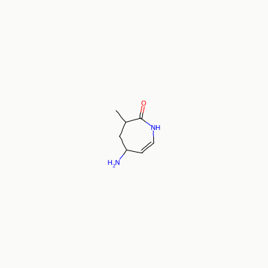 CC1CC(N)C=CNC1=O